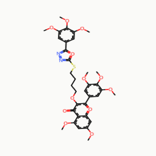 COc1cc(OC)c2c(=O)c(OCCCCSc3nnc(-c4cc(OC)c(OC)c(OC)c4)o3)c(-c3cc(OC)c(OC)c(OC)c3)oc2c1